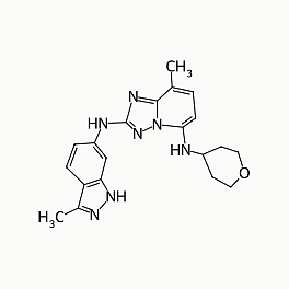 Cc1n[nH]c2cc(Nc3nc4c(C)ccc(NC5CCOCC5)n4n3)ccc12